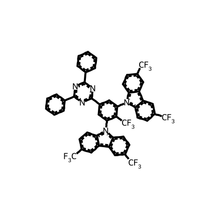 FC(F)(F)c1ccc2c(c1)c1cc(C(F)(F)F)ccc1n2-c1cc(-c2nc(-c3ccccc3)nc(-c3ccccc3)n2)cc(-n2c3ccc(C(F)(F)F)cc3c3cc(C(F)(F)F)ccc32)c1C(F)(F)F